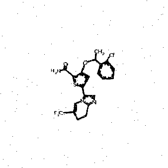 CC(Oc1cc(-c2cnc3n2C=C(C(F)(F)F)CC3)sc1C(N)=O)c1ccccc1Cl